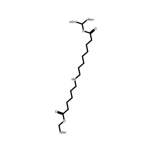 CCCCCCCCCCCOC(=O)CCCCCNCCCCCCCC(=O)OC(CCCCCCCC)CCCCCCCCC